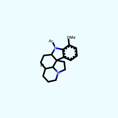 CCC12CCCN3CCC4(c5cccc(OC)c5N(C(C)=O)C4CC1)C32